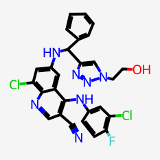 N#Cc1cnc2c(Cl)cc(NC(c3ccccc3)c3cn(CCO)nn3)cc2c1Nc1ccc(F)c(Cl)c1